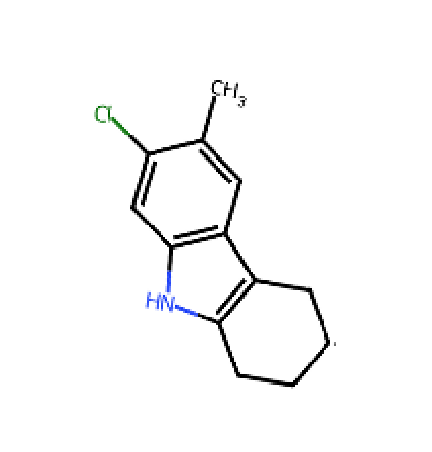 Cc1cc2c3c([nH]c2cc1Cl)CC[CH]C3